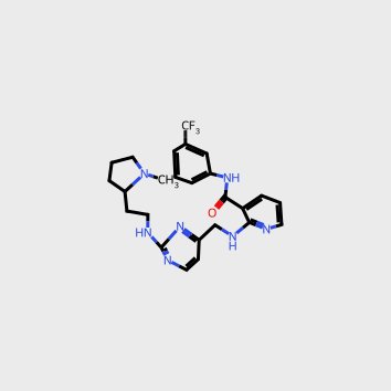 CN1CCCC1CCNc1nccc(CNc2ncccc2C(=O)Nc2cccc(C(F)(F)F)c2)n1